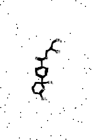 CCC(O)CNC(=O)c1ccc(C2(C)CCSC(N)=N2)cc1